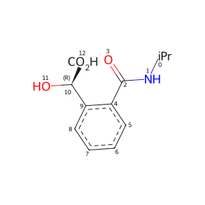 CC(C)NC(=O)c1ccccc1[C@@H](O)C(=O)O